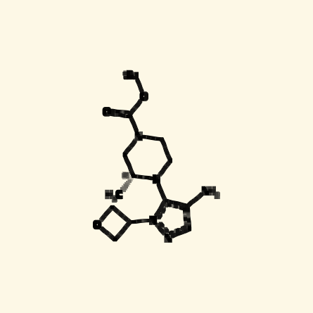 C[C@@H]1CN(C(=O)OC(C)(C)C)CCN1c1c(N)cnn1C1COC1